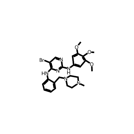 COc1cc(Nc2ncc(Br)c(Nc3ccccc3CN3CCN(C)CC3)n2)cc(OC)c1OC